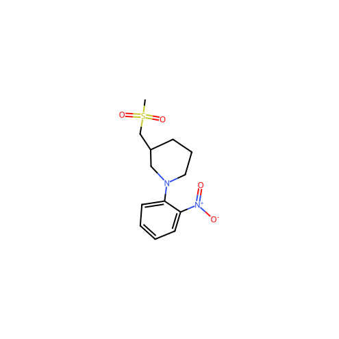 CS(=O)(=O)CC1CCCN(c2ccccc2[N+](=O)[O-])C1